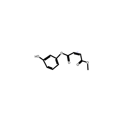 COC(=O)/C=C\C(=O)Oc1cccc(O)c1